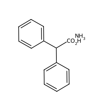 N.O=C(O)C(c1ccccc1)c1ccccc1